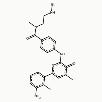 CCNCCN(C)C(=O)c1ccc(Nc2nc(-c3cccc(N)c3C)cn(C)c2=O)cc1